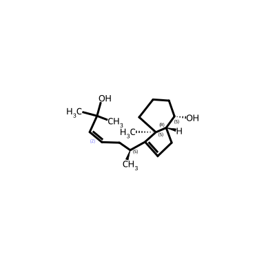 C[C@@H](C/C=C\C(C)(C)O)C1=CC[C@H]2[C@@H](O)CCC[C@]12C